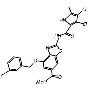 COC(=O)c1cc(OCc2cccc(F)c2)c2nc(NC(=O)c3[nH]c(C)c(Cl)c3Cl)sc2c1